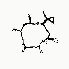 CCC1CC(=O)NC(C(C)C)CC(=O)NC(C2(C)CC2)CC(=O)N1